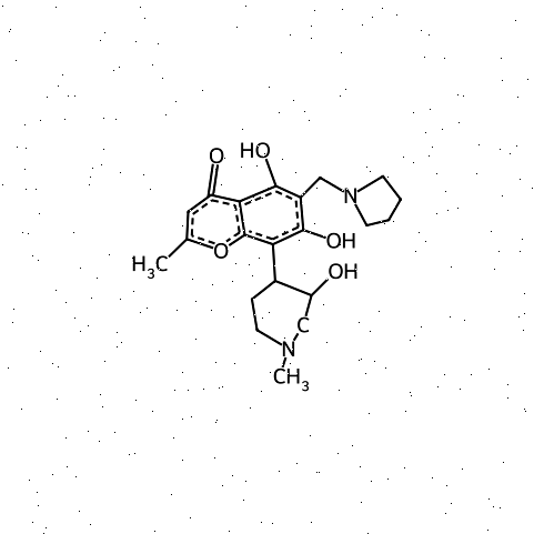 Cc1cc(=O)c2c(O)c(CN3CCCC3)c(O)c(C3CCN(C)CC3O)c2o1